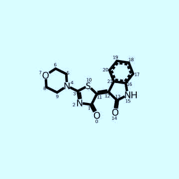 O=C1N=C(N2CCOCC2)S/C1=C1/C(=O)Nc2ccccc21